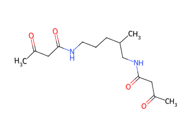 CC(=O)CC(=O)NCCCC(C)CNC(=O)CC(C)=O